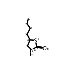 CCCCC1CNC(=O)S1